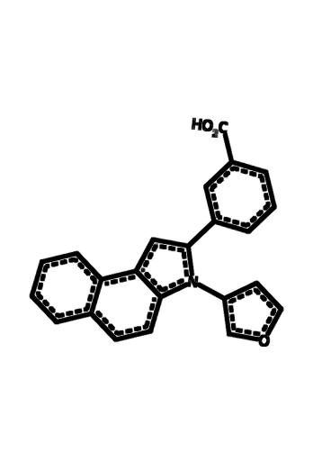 O=C(O)c1cccc(-c2cc3c4ccccc4ccc3n2-c2ccoc2)c1